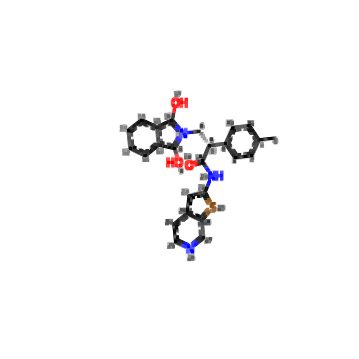 Cc1ccc([C@@H](Cn2c(O)c3ccccc3c2O)C(=O)Nc2cc3ccncc3s2)cc1